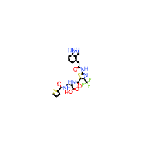 O=C(Cc1cccc2[nH]ncc12)Nc1nc(C(F)(F)F)c(C(=O)N[C@@H](CNC(=O)c2cccs2)C(=O)O)s1